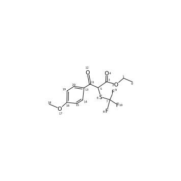 CCOC(=O)C(SC(F)(F)F)C(=O)c1ccc(OC)cc1